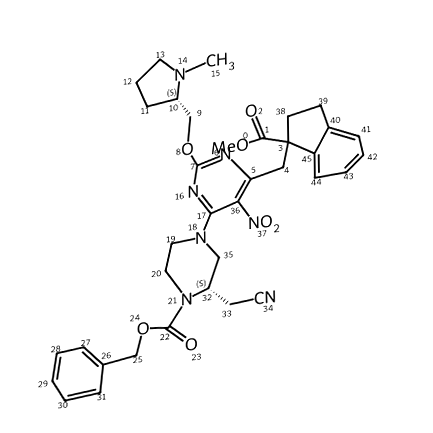 COC(=O)C1(Cc2nc(OC[C@@H]3CCCN3C)nc(N3CCN(C(=O)OCc4ccccc4)[C@@H](CC#N)C3)c2[N+](=O)[O-])CCc2ccccc21